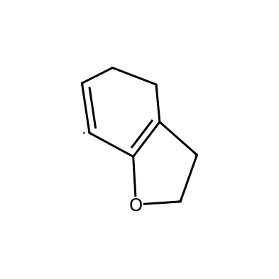 [C]1=CCCC2=C1OCC2